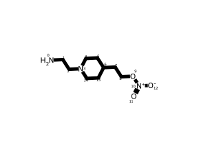 NCCN1CCC(CCO[N+](=O)[O-])CC1